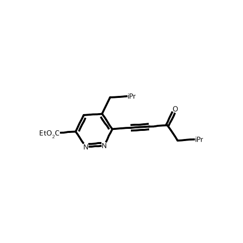 CCOC(=O)c1cc(CC(C)C)c(C#CC(=O)CC(C)C)nn1